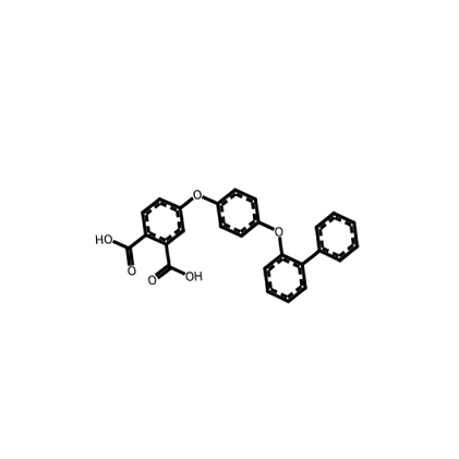 O=C(O)c1ccc(Oc2ccc(Oc3ccccc3-c3ccccc3)cc2)cc1C(=O)O